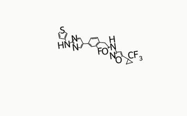 O=C(Cc1ccc(-c2cnc(Nc3ccsc3)nc2)cc1F)Nc1cc(C2(C(F)(F)F)CC2)on1